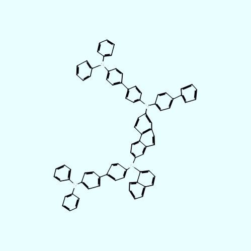 c1ccc(-c2ccc(N(c3ccc(-c4ccc(N(c5ccccc5)c5ccccc5)cc4)cc3)c3ccc4c(ccc5cc(N(c6ccc(-c7ccc(N(c8ccccc8)c8ccccc8)cc7)cc6)c6cccc7ccccc67)ccc54)c3)cc2)cc1